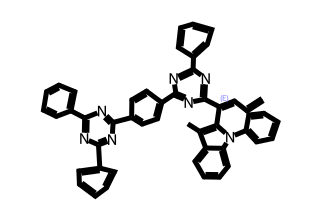 C=C/C=C(/c1nc(-c2ccccc2)nc(-c2ccc(-c3nc(-c4ccccc4)nc(-c4ccccc4)n3)cc2)n1)c1c(C)c2ccccc2n1-c1ccccc1